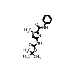 Cn1cc(NC(=O)OC(C)(C)C)nc1C(=O)Nc1ccccc1